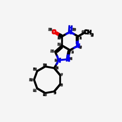 Cc1nc2nn(C3CCCCCCCC3)cc2c(=O)[nH]1